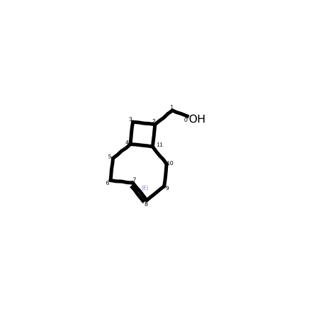 OCC1CC2CC/C=C/CCC12